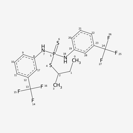 CCC(C)SP(=S)(Nc1cccc(C(F)(F)F)c1)Nc1cccc(C(F)(F)F)c1